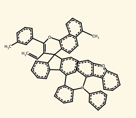 C=CC1=C(c2cccc(C)c2)Oc2c(ccc3c(C)cccc23)C12c1ccccc1-c1c(-c3ccccc3N(c3ccccc3)c3cccc4oc5ccccc5c34)cccc12